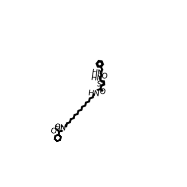 O=C(NCc1ccccc1)Nc1ccc(C(=O)CNCCCCCCCCCCCCCCCCNCC(C(=O)O)C2CCCCC2)s1